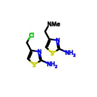 CNCc1csc(N)n1.Nc1nc(CCl)cs1